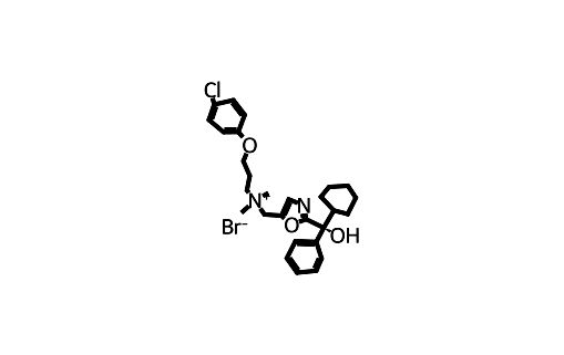 C[N+](C)(CCCOc1ccc(Cl)cc1)Cc1cnc([C@](O)(c2ccccc2)C2CCCCC2)o1.[Br-]